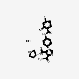 Cl.NC(=O)c1ncn(-c2ccc(NC(=O)c3ccc(F)cc3Cl)cc2)c1C(=O)N[C@@H]1CCNC1